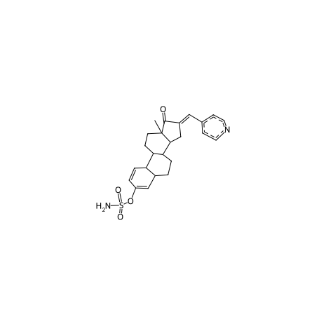 CC12CCC3C4C=CC(OS(N)(=O)=O)=CC4CCC3C1CC(=Cc1ccncc1)C2=O